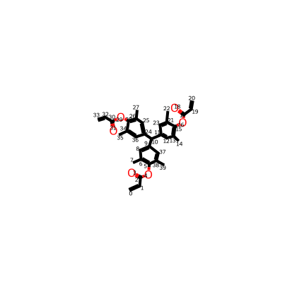 C=CC(=O)Oc1c(C)cc(C(c2cc(C)c(OC(=O)C=C)c(C)c2)c2cc(C)c(OC(=O)C=C)c(C)c2)cc1C